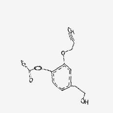 C#CCOc1cc(CO)ccc1OC(=O)CC